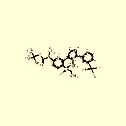 CCS(=O)(=O)c1ccc(N(C)C(=O)OC(C)(C)C)nc1-c1nnc(-c2cc(C(F)(F)F)ccn2)n1C